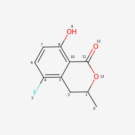 CC1Cc2c(F)ccc(O)c2C(=O)O1